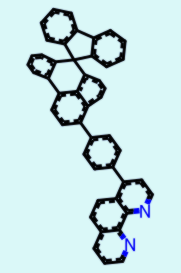 c1ccc2c(c1)-c1ccccc1C21c2ccccc2-c2ccc(-c3ccc(-c4ccnc5c4ccc4cccnc45)cc3)c3cccc1c23